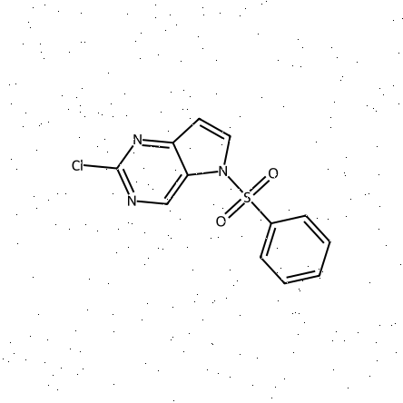 O=S(=O)(c1ccccc1)n1ccc2nc(Cl)ncc21